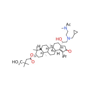 CC(=O)N(C)CCN(CC1CC1)CC(O)[C@@]12CC[C@]3(C)[C@H](CCC4[C@@]5(C)CC[C@H](OC(=O)CC(C)(C)C(=O)O)C(C)(C)[C@@H]5CC[C@]43C)C1=C(C(C)C)C(=O)C2